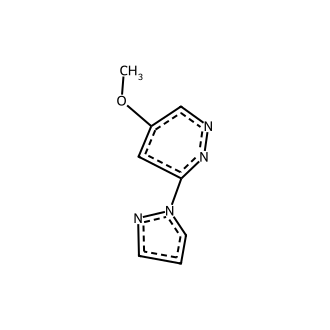 COc1cnnc(-n2cccn2)c1